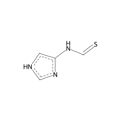 S=CNc1c[nH]cn1